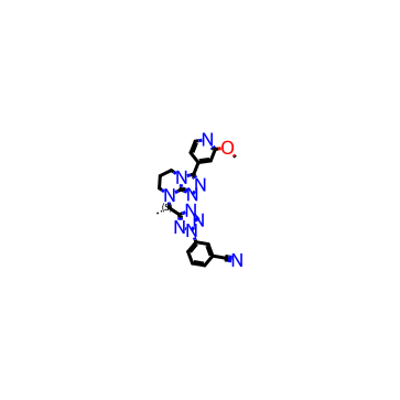 COc1cc(-c2nnc3n2CCCN3[C@@H](C)c2nnn(-c3cccc(C#N)c3)n2)ccn1